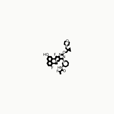 C#Cc1c(F)ccc2cc(O)cc(-c3ncc4c(N5CCCCC(NC(=O)C(=C)F)C5)nc(OCC5(CN6CCOCC6)CC5)nc4c3F)c12